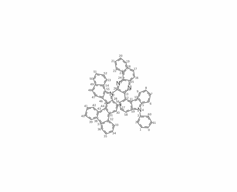 c1ccc(-n2c3ccccc3c3c(-c4nc5ccc6ccccc6c5nc4-n4c5ccc6c7ccccc7c7ccccc7c6c5c5ccc6ccccc6c54)cccc32)cc1